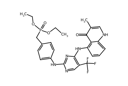 CCOP(=O)(Cc1ccc(Nc2ncc(C(F)(F)F)c(Nc3cccc4[nH]cc(C)c(=O)c34)n2)cc1)OCC